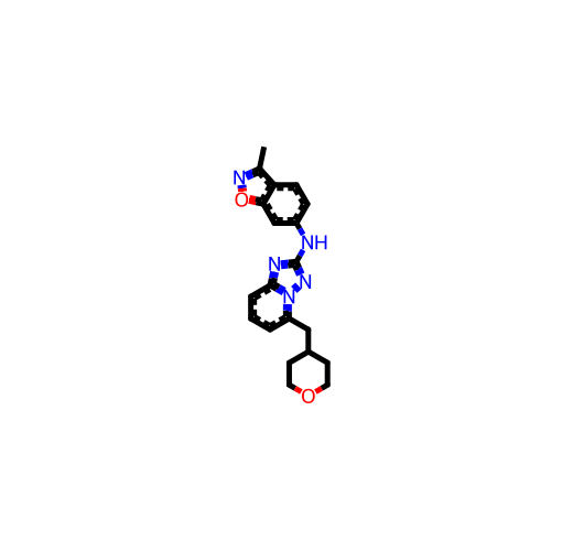 Cc1noc2cc(Nc3nc4cccc(CC5CCOCC5)n4n3)ccc12